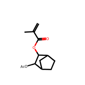 C=C(C)C(=O)OC1C2CCC(C2)C1OC(C)=O